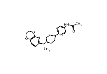 CC(=O)Nc1cnc(N2CCN([C@H](C)c3ccc4c(n3)OCCO4)CC2)nc1